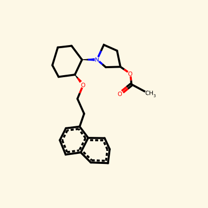 CC(=O)OC1CCN([C@@H]2CCCC[C@@H]2OCCc2cccc3ccccc23)C1